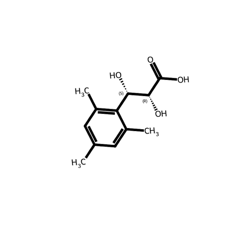 Cc1cc(C)c([C@H](O)[C@@H](O)C(=O)O)c(C)c1